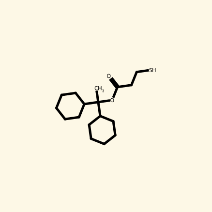 CC(OC(=O)CCS)(C1CCCCC1)C1CCCCC1